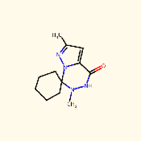 Cc1cc2n(n1)C1(CCCCC1)N(C)NC2=O